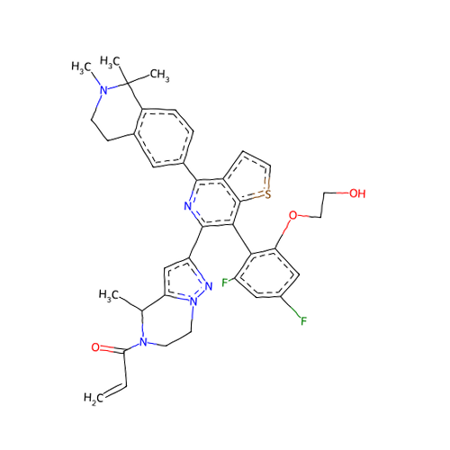 C=CC(=O)N1CCn2nc(-c3nc(-c4ccc5c(c4)CCN(C)C5(C)C)c4ccsc4c3-c3c(F)cc(F)cc3OCCO)cc2C1C